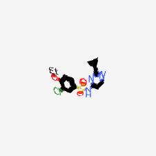 CCOc1ccc(S(=O)(=O)Nc2ccnc(C3CC3)n2)cc1Cl